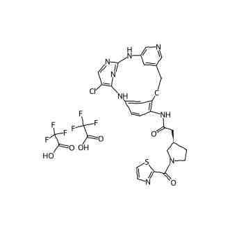 O=C(C[C@H]1CCN(C(=O)c2nccs2)C1)Nc1ccc2cc1CCc1cncc(c1)Nc1ncc(Cl)c(n1)N2.O=C(O)C(F)(F)F.O=C(O)C(F)(F)F